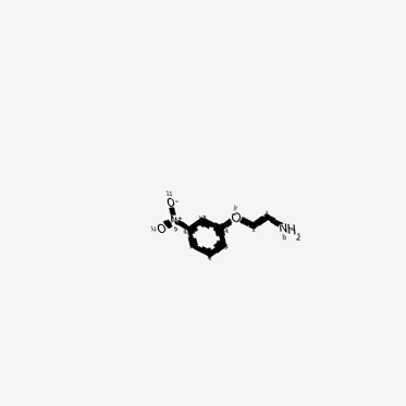 NCCOc1cccc([N+](=O)[O-])c1